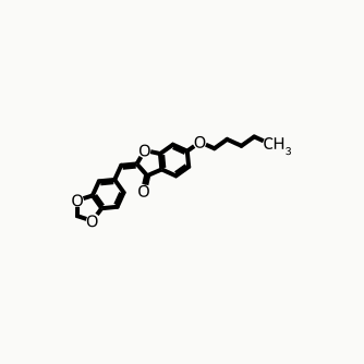 CCCCCOc1ccc2c(c1)O/C(=C/c1ccc3c(c1)OCO3)C2=O